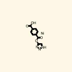 O=C(O)c1ccc(C(=O)Oc2c[nH]nn2)cc1.[Ni]